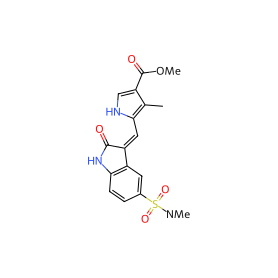 CNS(=O)(=O)c1ccc2c(c1)C(=Cc1[nH]cc(C(=O)OC)c1C)C(=O)N2